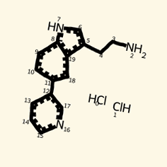 Cl.Cl.NCCc1c[nH]c2ccc(-c3cccnc3)cc12